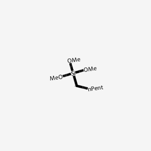 CCCCC[CH][Si](OC)(OC)OC